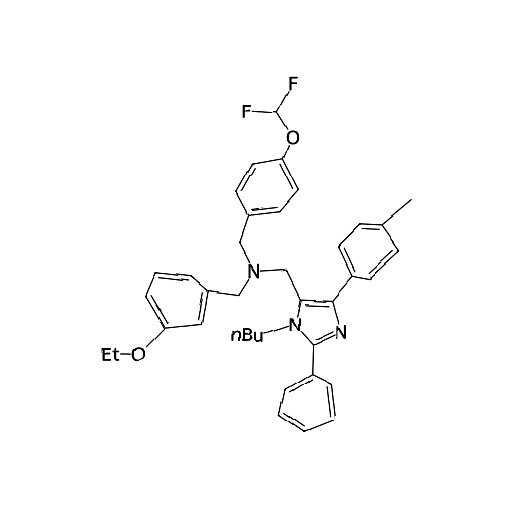 CCCCn1c(-c2ccccc2)nc(-c2ccc(C)cc2)c1CN(Cc1ccc(OC(F)F)cc1)Cc1cccc(OCC)c1